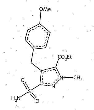 CCOC(=O)c1c(Cc2ccc(OC)cc2)c(S(N)(=O)=O)nn1C